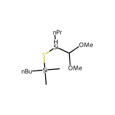 CCCC[Si](C)(C)S[SiH](CCC)C(OC)OC